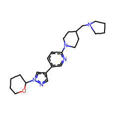 c1cc(N2CCC(CN3CCCC3)CC2)ncc1-c1cnn(C2CCCCO2)c1